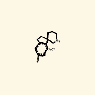 Cl.Fc1ccc2c(c1)CCC21CCNC1